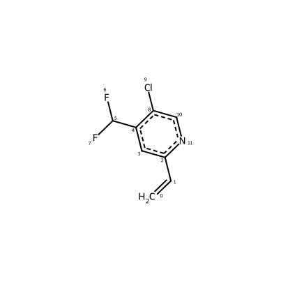 C=Cc1cc(C(F)F)c(Cl)cn1